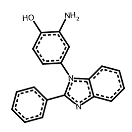 Nc1cc(-n2c(-c3ccccc3)nc3ccccc32)ccc1O